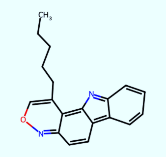 CCCCCc1conc2ccc3c4ccccc4nc3c12